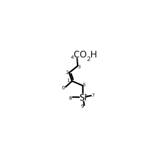 CC(=CCC(=O)O)C[Si](C)(C)C